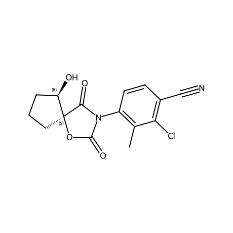 Cc1c(N2C(=O)O[C@]3(CCC[C@H]3O)C2=O)ccc(C#N)c1Cl